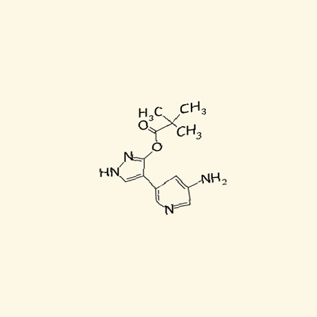 CC(C)(C)C(=O)Oc1n[nH]cc1-c1cncc(N)c1